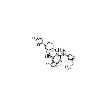 C=CC(=O)N1CC[C@@H](C)[C@@H](Nc2nc(Nc3cnn(CC)c3)nc3[nH]cc(F)c23)C1